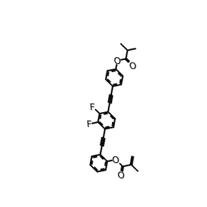 C=C(C)C(=O)Oc1ccccc1C#Cc1ccc(C#Cc2ccc(OC(=O)C(C)C)cc2)c(F)c1F